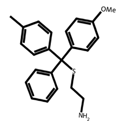 COc1ccc(C(SCCN)(c2ccccc2)c2ccc(C)cc2)cc1